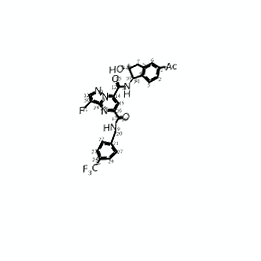 CC(=O)c1ccc2c(c1)C[C@@H](O)[C@@H]2NC(=O)c1cc(C(=O)NCc2ccc(C(F)(F)F)cc2)nc2c(F)cnn12